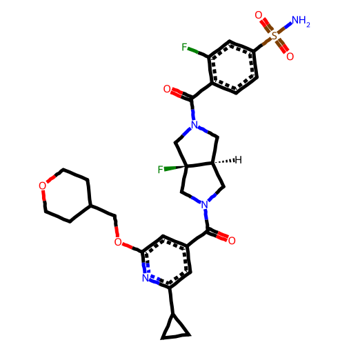 NS(=O)(=O)c1ccc(C(=O)N2C[C@H]3CN(C(=O)c4cc(OCC5CCOCC5)nc(C5CC5)c4)C[C@]3(F)C2)c(F)c1